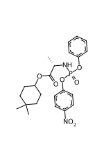 C[C@H](NP(=O)(Oc1ccccc1)Oc1ccc([N+](=O)[O-])cc1)C(=O)OC1CCC(C)(C)CC1